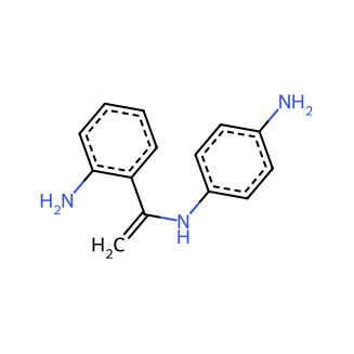 C=C(Nc1ccc(N)cc1)c1ccccc1N